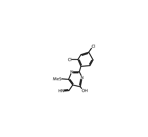 CSc1nc(-c2ccc(Cl)cc2Cl)nc(O)c1C=N